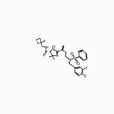 C=C(CCN(Cc1ccc(Cl)c(F)c1)S(=O)(=O)c1ccccc1)C1=NC(C)(C)[C@H](C(=O)NCC2(F)CCC2)N1